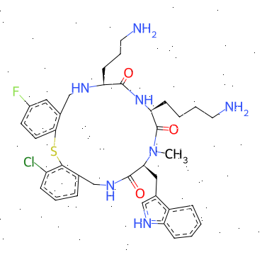 CN1C(=O)[C@H](CCCCN)NC(=O)[C@H](CCCN)NCc2cc(F)ccc2Sc2c(Cl)cccc2CNC(=O)[C@@H]1Cc1c[nH]c2ccccc12